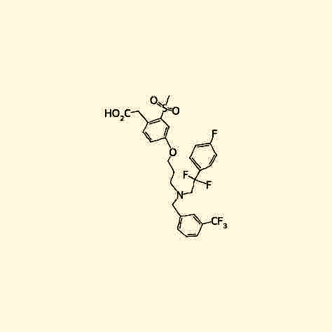 CS(=O)(=O)c1cc(OCCCN(Cc2cccc(C(F)(F)F)c2)CC(F)(F)c2ccc(F)cc2)ccc1CC(=O)O